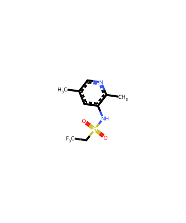 Cc1cnc(C)c(NS(=O)(=O)CC(F)(F)F)c1